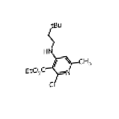 CCOC(=O)c1c(NCCC(C)(C)C)cc(C)nc1Cl